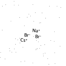 [Br-].[Br-].[Cs+].[Na+]